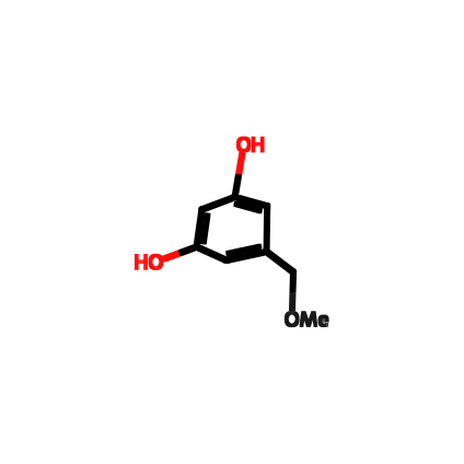 COCc1cc(O)cc(O)c1